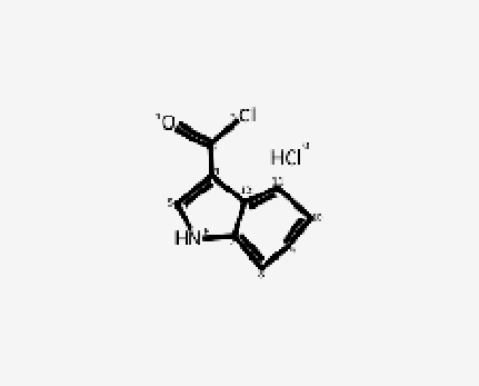 Cl.O=C(Cl)c1c[nH]c2ccccc12